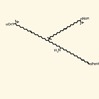 CCCCCC=CCC=CCCCCCCCCCCCC(N)CCCCCCC(CCCCCCCCC=CCCCCCCCC(CCCCCCCC)N(C)C)C(C)(C)CCCCCCCCC=CCCCCCCCC(CCCCCCCCC)N(C)C